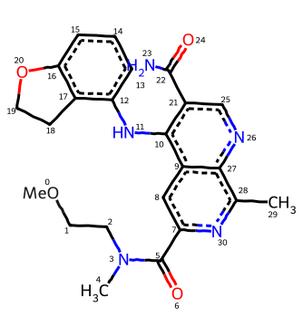 COCCN(C)C(=O)c1cc2c(Nc3cccc4c3CCO4)c(C(N)=O)cnc2c(C)n1